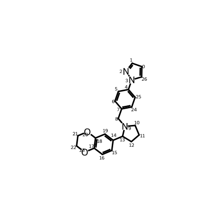 c1cnn(-c2ccc(CN3CCCC3c3ccc4c(c3)OCCO4)cc2)c1